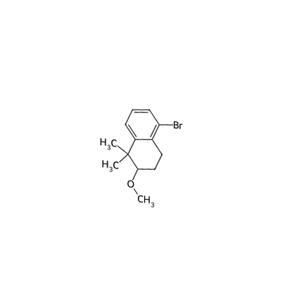 COC1CCc2c(Br)cccc2C1(C)C